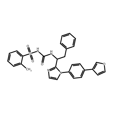 Cc1ccccc1S(=O)(=O)NC(=O)NC(Cc1ccccc1)c1nccn1-c1ccc(-c2ccoc2)cc1